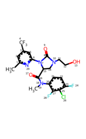 Cc1cc(C(F)(F)F)cc(N2C(=O)N(CCO)CC2C(=O)N(C)c2ccc(F)c(Cl)c2F)n1